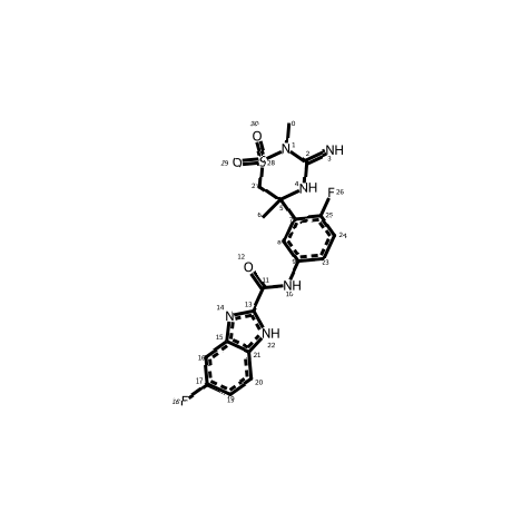 CN1C(=N)NC(C)(c2cc(NC(=O)c3nc4cc(F)ccc4[nH]3)ccc2F)CS1(=O)=O